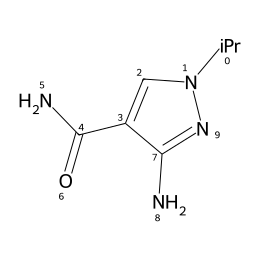 CC(C)n1cc(C(N)=O)c(N)n1